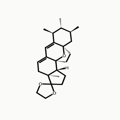 C[C@H]1[C@H](C)C2=CC3=CC[C@@]4(C)[C@@H](CCC45OCCO5)[C@@]34CC[C@]2(C[C@@H]1C)O4